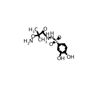 CC(C)(ON)C(=O)NNS(=O)(=O)c1ccc(O)c(O)c1